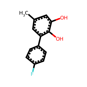 Cc1cc(O)c(O)c(-c2ccc(F)cc2)c1